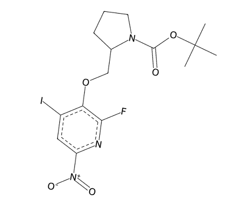 CC(C)(C)OC(=O)N1CCCC1COc1c(I)cc([N+](=O)[O-])nc1F